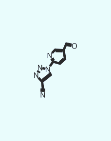 N#Cc1cn(-c2ccc(C=O)cn2)nn1